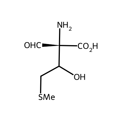 CSCC(O)[C@@](N)(C=O)C(=O)O